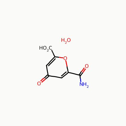 NC(=O)c1cc(=O)cc(C(=O)O)o1.O